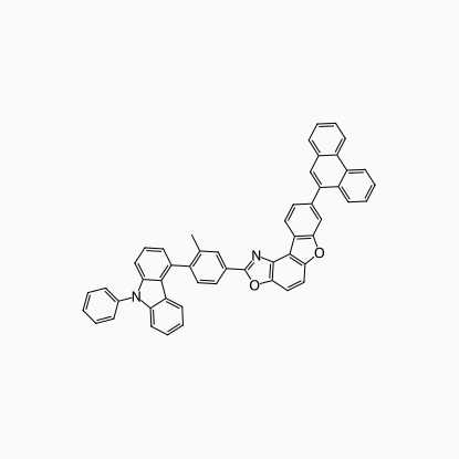 Cc1cc(-c2nc3c(ccc4oc5cc(-c6cc7ccccc7c7ccccc67)ccc5c43)o2)ccc1-c1cccc2c1c1ccccc1n2-c1ccccc1